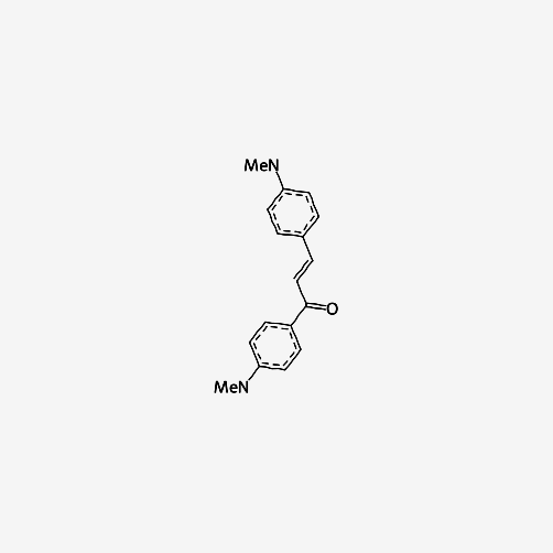 CNc1ccc(/C=C/C(=O)c2ccc(NC)cc2)cc1